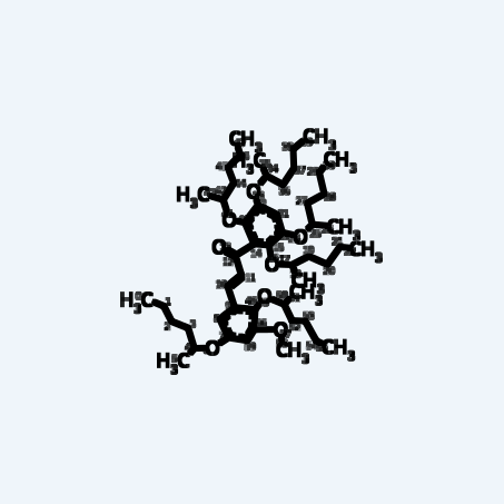 CCCCC(C)Oc1cc(C=CC(=O)c2c(OC(C)CCCC)c(OC(C)CCCC)cc(OC(C)CCCC)c2OC(C)CCCC)c(OC(C)CCCC)c(OC)c1